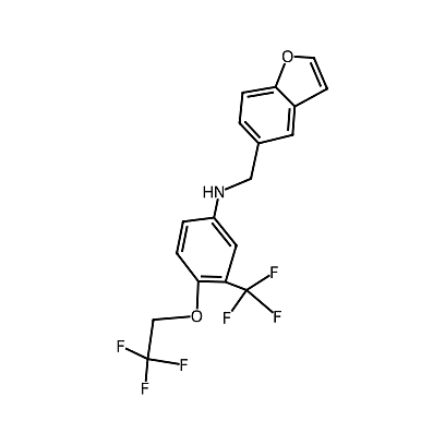 FC(F)(F)COc1ccc(NCc2ccc3occc3c2)cc1C(F)(F)F